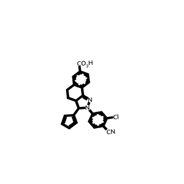 N#Cc1ccc(N2N=C3c4ccc(C(=O)O)cc4CCC3C2C2=C=CC=C2)cc1Cl